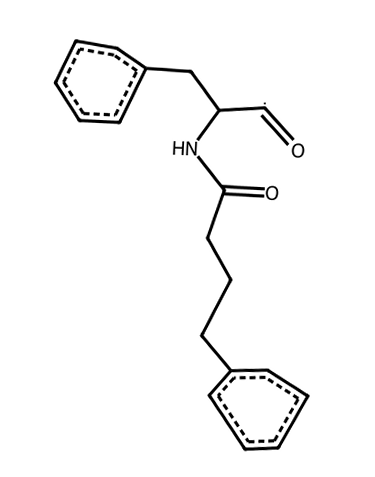 O=[C]C(Cc1ccccc1)NC(=O)CCCc1ccccc1